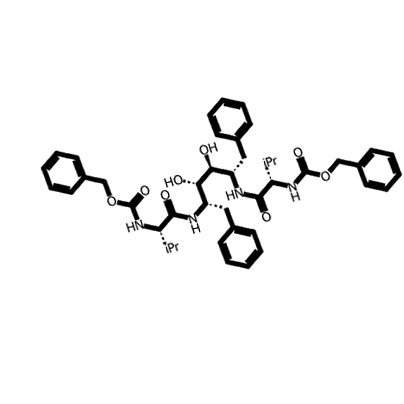 CC(C)[C@H](NC(=O)OCc1ccccc1)C(=O)N[C@@H](Cc1ccccc1)[C@H](O)[C@@H](O)[C@H](Cc1ccccc1)NC(=O)[C@@H](NC(=O)OCc1ccccc1)C(C)C